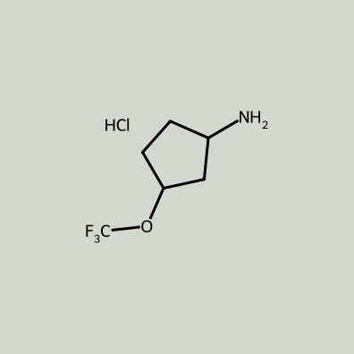 Cl.NC1CCC(OC(F)(F)F)C1